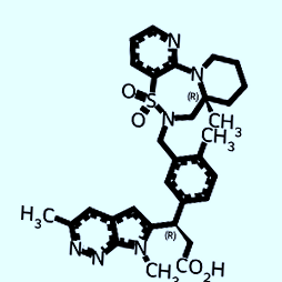 Cc1cc2cc([C@H](CC(=O)O)c3ccc(C)c(CN4C[C@@]5(C)CCCCN5c5ncccc5S4(=O)=O)c3)n(C)c2nn1